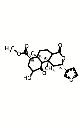 COC(=O)[C@@H]1CC(O)C(=O)C2[C@@]3(C)C[C@@H](c4ccoc4)OC(=O)C3CC[C@]21C